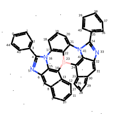 c1ccc(-c2nc3cc4ccccc4c4c3n2-c2cccc3c2B4c2c4ccccc4cc4nc(-c5ccccc5)n-3c24)cc1